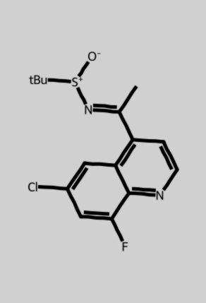 CC(=N[S+]([O-])C(C)(C)C)c1ccnc2c(F)cc(Cl)cc12